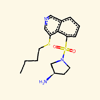 CCCCSc1cncc2cccc(S(=O)(=O)N3CC[C@@H](N)C3)c12